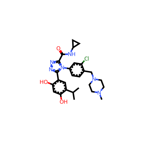 CC(C)c1cc(-c2nnc(C(=O)NC3CC3)n2-c2ccc(CN3CCN(C)CC3)c(Cl)c2)c(O)cc1O